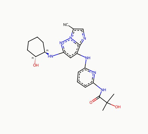 CC(C)(O)C(=O)Nc1cccc(Nc2cc(N[C@@H]3CCCC[C@H]3O)nn3c(C#N)cnc23)n1